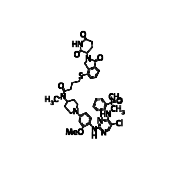 COc1cc(N2CCC(N(C)C(=O)CCCSc3cccc4c3CN(C3CCC(=O)NC3=O)C4=O)CC2)ccc1Nc1ncc(Cl)c(Nc2ccccc2P(C)(C)=O)n1